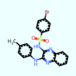 Cc1ccc(Nc2nc3ccccc3nc2NS(=O)(=O)c2ccc(Br)cc2)cc1